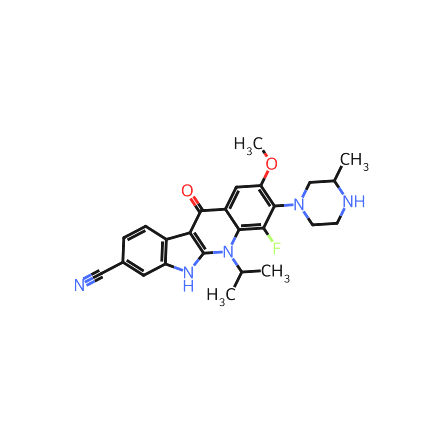 COc1cc2c(=O)c3c4ccc(C#N)cc4[nH]c3n(C(C)C)c2c(F)c1N1CCNC(C)C1